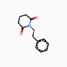 O=C1CCCC(=O)N1CCc1ccccc1